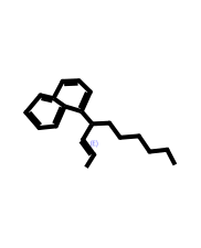 C/C=C/[C](CCCCCC)c1cccc2ccccc12